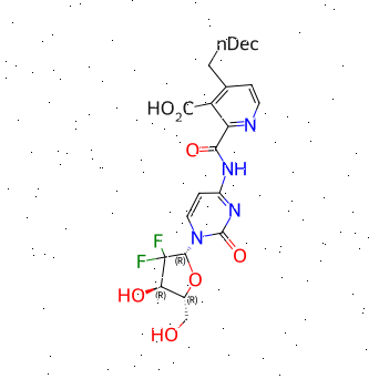 CCCCCCCCCCCc1ccnc(C(=O)Nc2ccn([C@@H]3O[C@H](CO)[C@@H](O)C3(F)F)c(=O)n2)c1C(=O)O